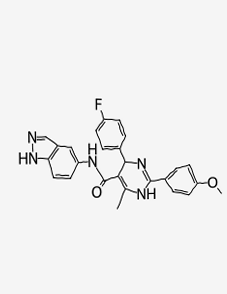 COc1ccc(C2=NC(c3ccc(F)cc3)C(C(=O)Nc3ccc4[nH]ncc4c3)=C(C)N2)cc1